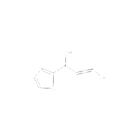 OC=CC(O)c1ccco1